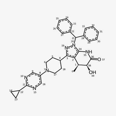 C[C@H]1c2c(C3CCN(c4cnc(C5CC5)nc4)CC3)nn(C(c3ccccc3)c3ccccc3)c2NC(=O)[C@H]1O